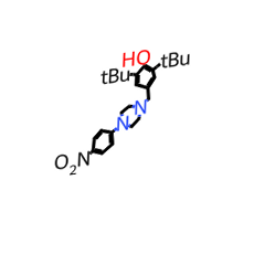 CC(C)(C)c1cc(CN2CCN(c3ccc([N+](=O)[O-])cc3)CC2)cc(C(C)(C)C)c1O